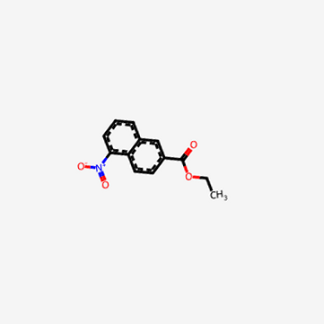 CCOC(=O)c1ccc2c([N+](=O)[O-])cccc2c1